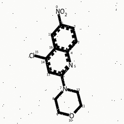 O=[N+]([O-])c1ccc2nc(N3CCOCC3)cc(Cl)c2c1